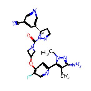 Cc1c(N)nn(C)c1-c1cc(OC2CN(C(=O)N3N=CC[C@H]3c3cncc(C#N)c3)C2)c(F)cn1